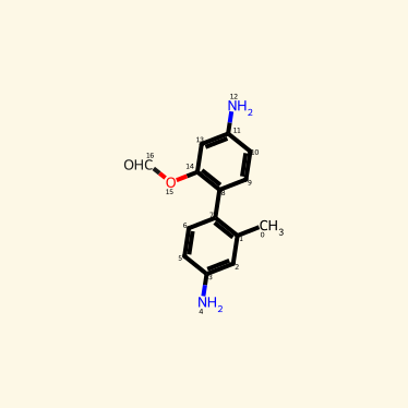 Cc1cc(N)ccc1-c1ccc(N)cc1OC=O